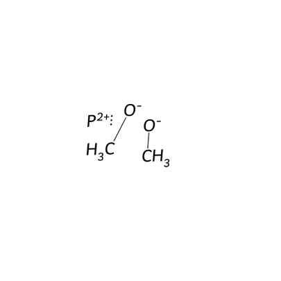 C[O-].C[O-].[P+2]